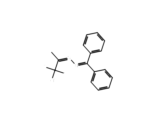 CC(=NN=C(c1ccccc1)c1ccccc1)C(F)(F)C(F)(F)F